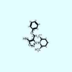 CC1CCCC(C)N1[n+]1noc([NH-])c1COc1ccccc1